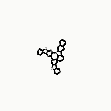 c1ccc2cc3c(cc2c1)c1ccccc1n3-c1nc2oc3ccccc3c2nc1-c1ccc2c(c1)oc1ccccc12